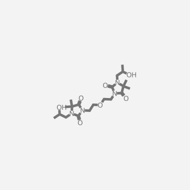 CC(O)CN1C(=O)N(CCOCCN2C(=O)N(CC(C)O)C(C)(C)C2=O)C(=O)C1(C)C